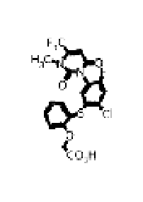 Cn1c(C(F)(F)F)cc(=O)n(-c2cc(Sc3ccccc3OCC(=O)O)c(Cl)cc2F)c1=O